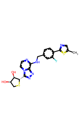 Cc1cnc(-c2ccc(CNc3nccn4c([C@@H]5SC[C@@H](O)[C@H]5O)nnc34)cc2F)s1